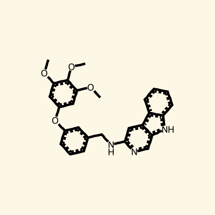 COc1cc(Oc2cccc(CNc3cc4c(cn3)[nH]c3ccccc34)c2)cc(OC)c1OC